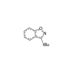 CC(C)(C)c1noc2ccccc12